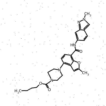 CCCCOC(=O)N1CCN(c2ccc(C(=O)Nc3ccc4cn(C)nc4c3)c3oc(C)cc23)CC1